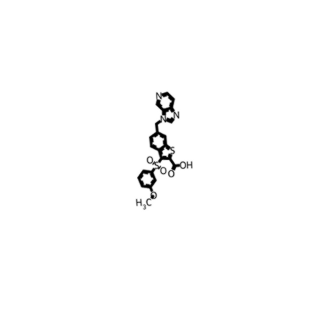 COc1cccc(S(=O)(=O)c2c(C(=O)O)sc3cc(Cn4cnc5ccncc54)ccc23)c1